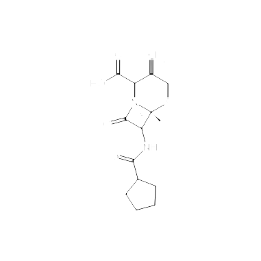 C=C1CS[C@@H]2C(NC(=O)C3CCCC3)C(=O)N2C1C(=O)O